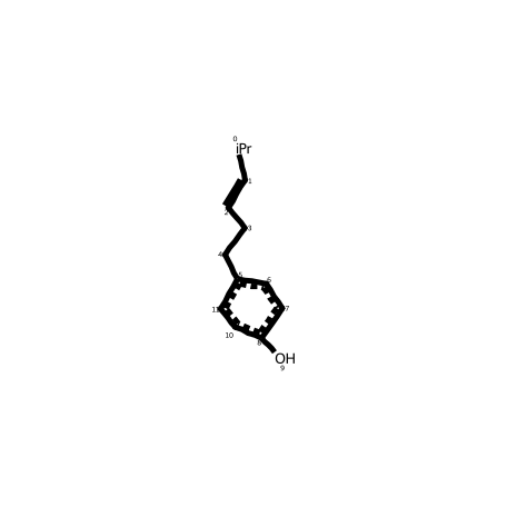 CC(C)/C=C/CCc1ccc(O)cc1